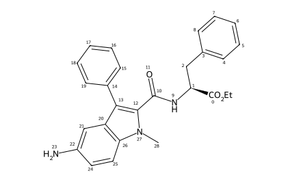 CCOC(=O)[C@H](Cc1ccccc1)NC(=O)c1c(-c2ccccc2)c2cc(N)ccc2n1C